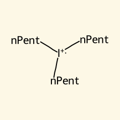 CCCCC[I+](CCCCC)CCCCC